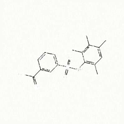 Cc1cc(C)c(NS(=O)(=O)c2cccc(C(=O)O)c2)c(C)c1C